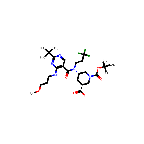 COCCCNc1nc(C(C)(C)C)ncc1C(=O)N(CCC(F)(F)F)[C@H]1C[C@@H](C(=O)O)CN(C(=O)OC(C)(C)C)C1